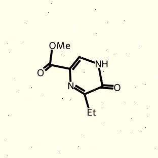 CCc1nc(C(=O)OC)c[nH]c1=O